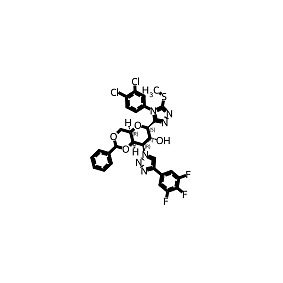 CSc1nnc([C@@H]2O[C@@H]3COC(c4ccccc4)O[C@@H]3[C@H](n3cc(-c4cc(F)c(F)c(F)c4)nn3)[C@H]2O)n1-c1ccc(Cl)c(Cl)c1